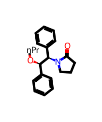 CCCO[C@H](c1ccccc1)[C@@H](c1ccccc1)N1CCCC1=O